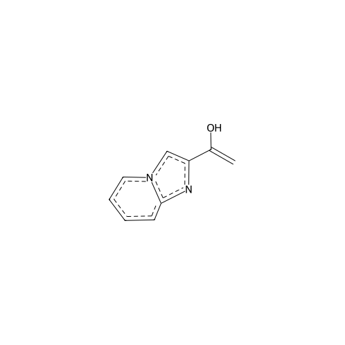 C=C(O)c1cn2ccccc2n1